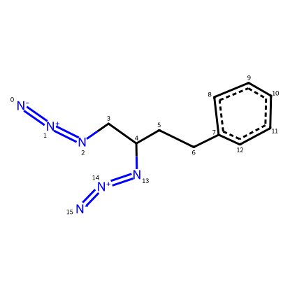 [N-]=[N+]=NCC(CCc1ccccc1)N=[N+]=[N-]